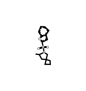 CC1CC2(CCC2)CN1S(=O)(=O)c1cc2ccccc2o1